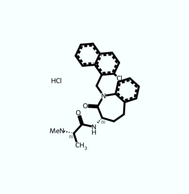 CN[C@@H](C)C(=O)N[C@H]1CCc2ccccc2N(Cc2c(Cl)ccc3ccccc23)C1=O.Cl